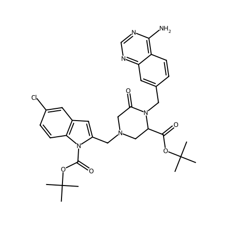 CC(C)(C)OC(=O)C1CN(Cc2cc3cc(Cl)ccc3n2C(=O)OC(C)(C)C)CC(=O)N1Cc1ccc2c(N)ncnc2c1